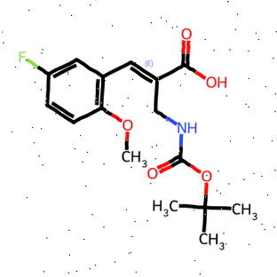 COc1ccc(F)cc1/C=C(\CNC(=O)OC(C)(C)C)C(=O)O